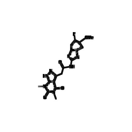 COc1cc2nc(NC(=O)Cc3n[nH]c4c3c(=O)n(C)c(=O)n4C)sc2cc1F